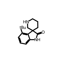 CC(C)(C)c1cccc2c1C1(CCCNC1)C(=O)N2